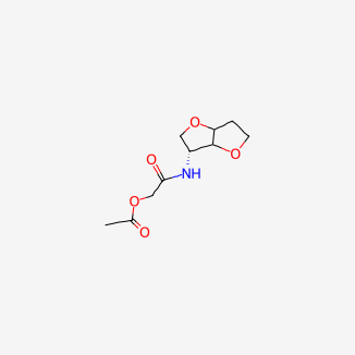 CC(=O)OCC(=O)N[C@@H]1COC2CCOC21